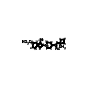 CCC1C(N2CCC(N(CC3(C)CCC3)C(C)=O)CC2)CC12CCN(C(=O)O)C2